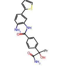 CC(C)C(O)(C(N)=O)c1ccc(C(=O)Nc2cc(-c3cccs3)ccc2N)cc1